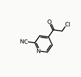 N#Cc1cc(C(=O)CCl)ccn1